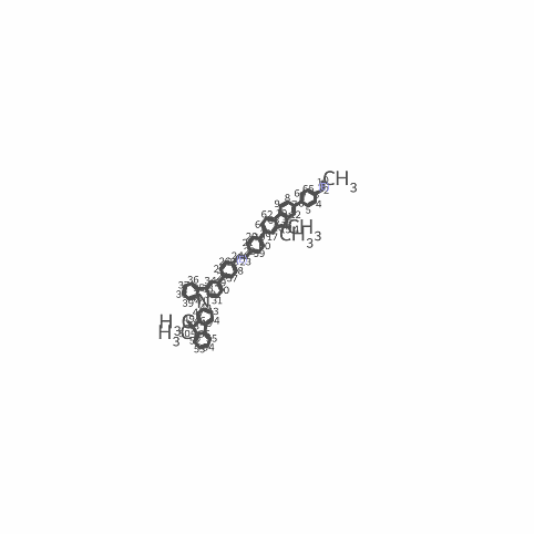 C/C=C/c1ccc(-c2ccc3c(c2)C(C)(C)c2cc(-c4ccc(/C=C/c5ccc(-c6ccc7c(c6)c6ccccc6n7-c6ccc7c(c6)C(C)(C)c6ccccc6-7)cc5)cc4)ccc2-3)cc1